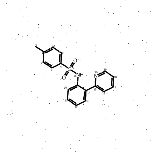 Cc1ccc(S(=O)(=O)Nc2ccccc2-c2ccccn2)cc1